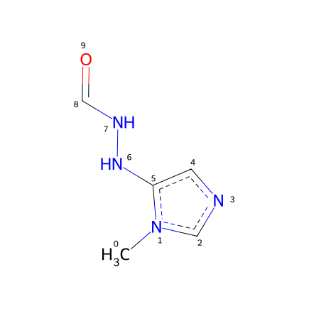 Cn1cncc1NNC=O